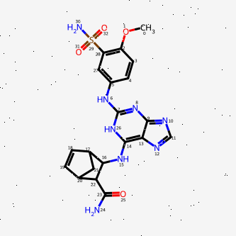 COc1ccc(Nc2nc3ncnc-3c(NC3C4C=CC(C4)C3C(N)=O)[nH]2)cc1S(N)(=O)=O